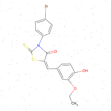 CCOc1cc(C=C2SC(=S)N(c3ccc(Br)cc3)C2=O)ccc1O